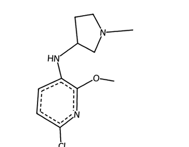 COc1nc(Cl)ccc1NC1CCN(C)C1